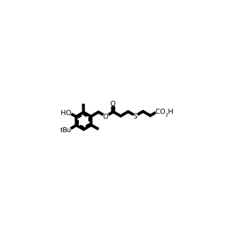 Cc1cc(C(C)(C)C)c(O)c(C)c1COC(=O)CCSCCC(=O)O